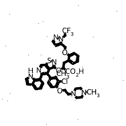 Cc1c(-c2c(-c3cccc4cc[nH]c34)ncc3snc(OC(Cc4ccccc4OCc4ccnn4CC(F)(F)F)C(=O)O)c23)ccc(OCCN2CCN(C)CC2)c1Cl